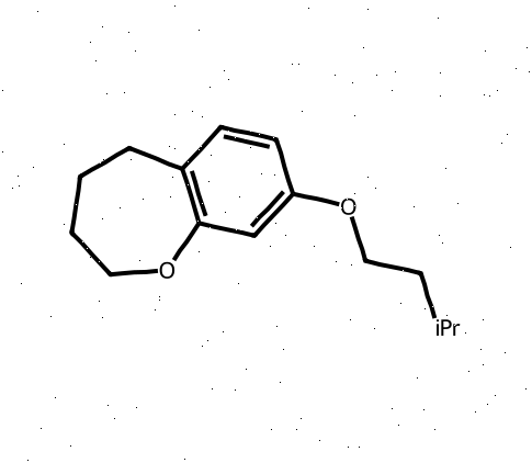 CC(C)CCOc1ccc2c(c1)OCCCC2